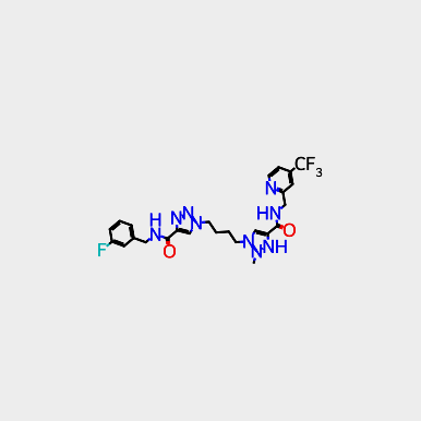 CN1NC(C(=O)NCc2cc(C(F)(F)F)ccn2)=CN1CCCCn1cc(C(=O)NCc2cccc(F)c2)nn1